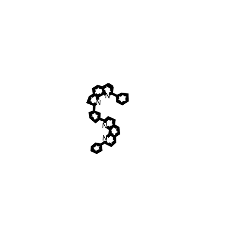 c1c(-c2ccccc2)nc2c(c#1)ccc1ccc(-c3cccc(-c4ccc5ccc6ccc(-c7ccccc7)nc6c5n4)c3)nc12